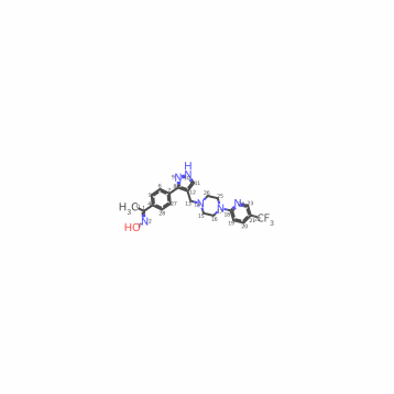 CC(=NO)c1ccc(-c2n[nH]cc2CN2CCN(c3ccc(C(F)(F)F)cn3)CC2)cc1